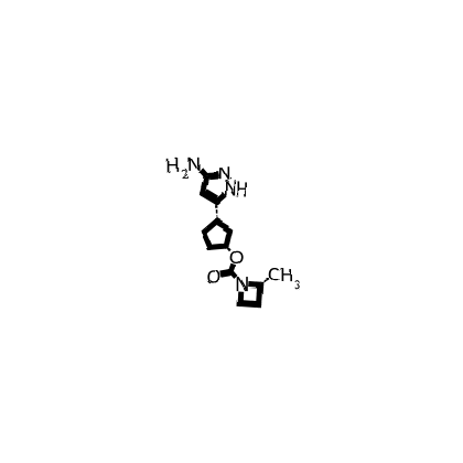 C[C@@H]1CCN1C(=O)O[C@@H]1CC[C@H](c2cc(N)n[nH]2)C1